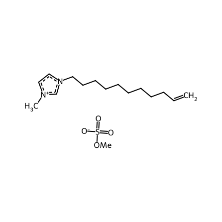 C=CCCCCCCCCCn1cc[n+](C)c1.COS(=O)(=O)[O-]